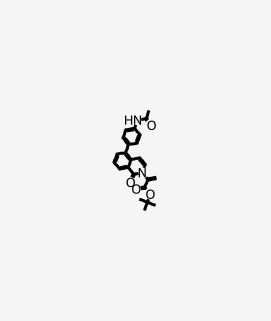 C=C(C(=O)OC(C)(C)C)n1ccc2c(-c3ccc(NC(C)=O)cc3)cccc2c1=O